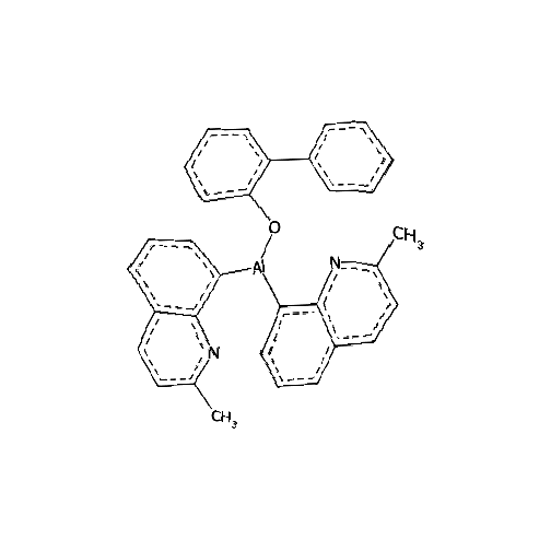 Cc1ccc2ccc[c]([Al]([O]c3ccccc3-c3ccccc3)[c]3cccc4ccc(C)nc34)c2n1